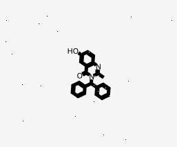 Cc1nc2ccc(O)cc2c(=O)n1C(c1ccccc1)c1ccccc1